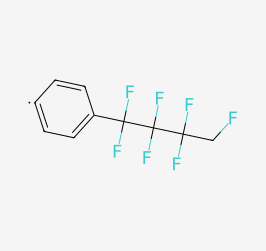 FCC(F)(F)C(F)(F)C(F)(F)c1cc[c]cc1